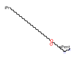 CCCCC/C=C\C/C=C\CCCCCCCC(=O)OCCCCCCCCCCCCCCCCCCCCCCCCCCCCCCC(C)C